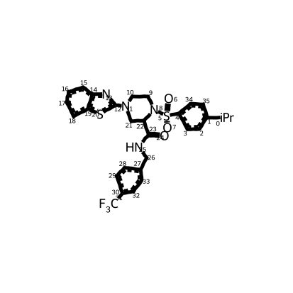 CC(C)c1ccc(S(=O)(=O)N2CCN(c3nc4ccccc4s3)CC2C(=O)NCc2ccc(C(F)(F)F)cc2)cc1